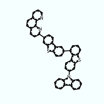 c1cnc2c(c1)ccc1ccc(-c3ccc4c(c3)sc3ccc(-c5cccc6sc7cc(-n8c9ccccc9c9ccccc98)ccc7c56)cc34)nc12